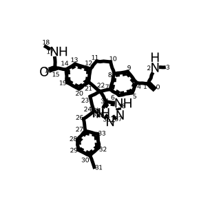 C=C(NC)c1ccc2c(c1)CCc1cc(C(=O)NC)ccc1C2(C[C@H](N)Cc1ccc(C)cc1)c1nnn[nH]1